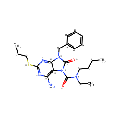 CCCCN(CC)C(=O)n1c(=O)n(Cc2ccccc2)c2nc(SCCC)nc(N)c21